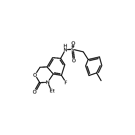 CCN1C(=O)OCc2cc(NS(=O)(=O)Cc3ccc(C)cc3)cc(F)c21